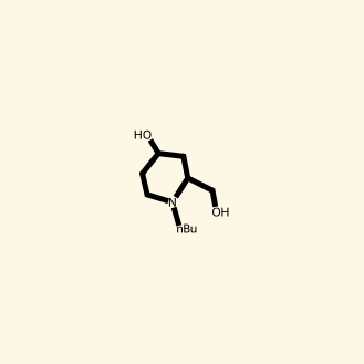 CCCCN1CCC(O)CC1CO